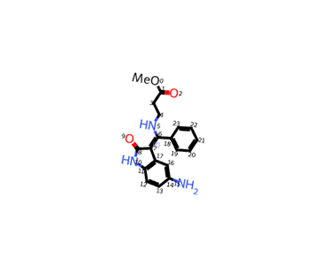 COC(=O)CCN/C(=C1\C(=O)Nc2ccc(N)cc21)c1ccccc1